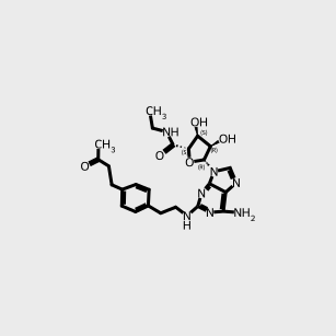 CCNC(=O)[C@H]1O[C@@H](n2cnc3c(N)nc(NCCc4ccc(CCC(C)=O)cc4)nc32)[C@H](O)[C@@H]1O